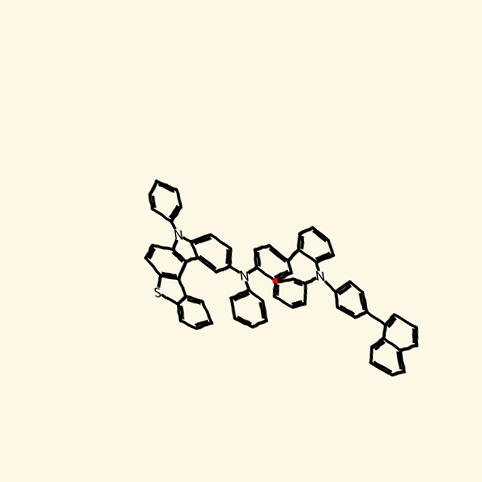 c1ccc(N(c2ccc(-c3ccccc3N(c3ccccc3)c3ccc(-c4cccc5ccccc45)cc3)cc2)c2ccc3c(c2)c2c4c(ccc2n3-c2ccccc2)sc2ccccc24)cc1